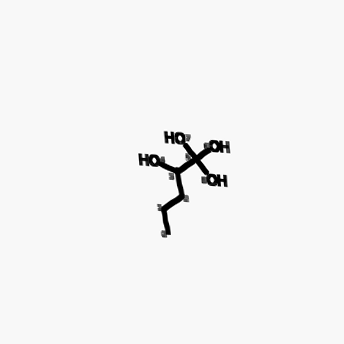 CCC[C](O)C(O)(O)O